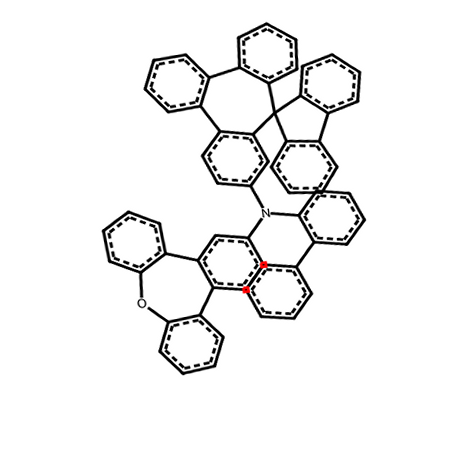 c1ccc(-c2ccccc2N(c2ccc3c(c2)-c2ccccc2Oc2ccccc2-3)c2ccc3c(c2)C2(c4ccccc4-c4ccccc4-3)c3ccccc3-c3ccccc32)cc1